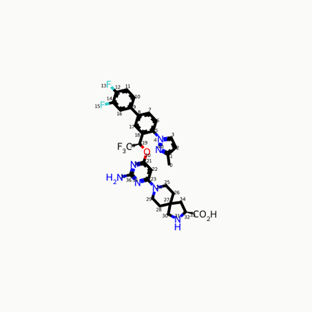 Cc1ccn(-c2ccc(-c3ccc(F)c(F)c3)cc2[C@@H](Oc2cc(N3CCC4(CC3)CN[C@H](C(=O)O)C4)nc(N)n2)C(F)(F)F)n1